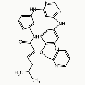 CC(C)C/C=C/C(=O)Nc1cccc(Nc2cc(Nc3ccc(OCc4ccccn4)c(Cl)c3)ncn2)c1